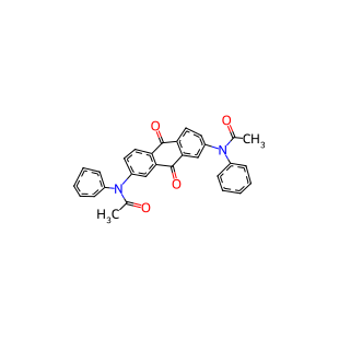 CC(=O)N(c1ccccc1)c1ccc2c(c1)C(=O)c1cc(N(C(C)=O)c3ccccc3)ccc1C2=O